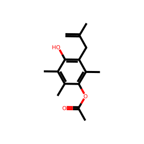 C=C(C)Cc1c(C)c(OC(C)=O)c(C)c(C)c1O